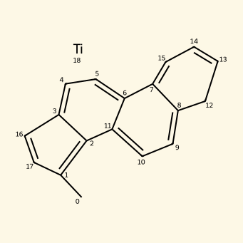 CC1=c2c(ccc3c4c(ccc23)CC=CC=4)C=C1.[Ti]